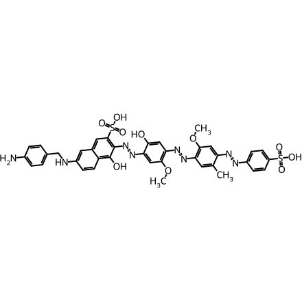 COc1cc(N=Nc2ccc(S(=O)(=O)O)cc2)c(C)cc1N=Nc1cc(O)c(N=Nc2c(S(=O)(=O)O)cc3cc(NCc4ccc(N)cc4)ccc3c2O)cc1OC